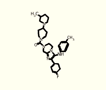 Cc1ccc(Nc2c(C3=CC=C(F)CC3)nc3n2CCN(C(=O)N2CCC(N4CCCC(C)C4)CC2)C3)cc1